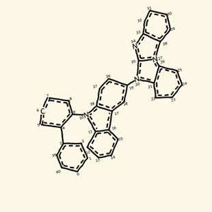 c1ccc(-c2ccccc2-n2c3ccccc3c3cc(-n4c5ccccc5n5c6ccccc6nc45)ccc32)cc1